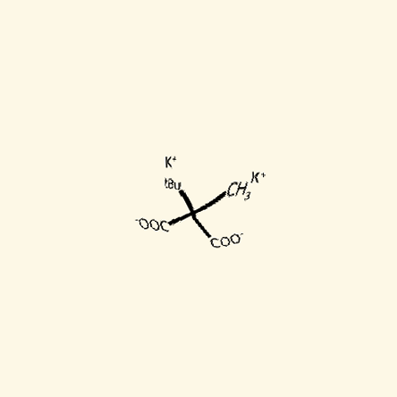 CC(C)(C)C(C)(C(=O)[O-])C(=O)[O-].[K+].[K+]